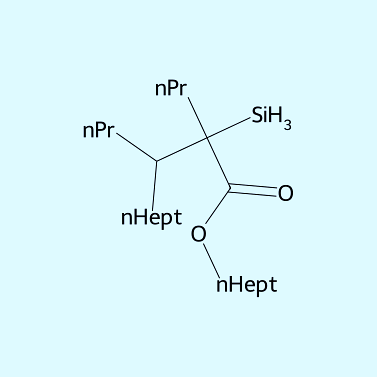 CCCCCCCOC(=O)C([SiH3])(CCC)C(CCC)CCCCCCC